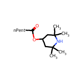 CCCCCC(=O)OC1CC(C)(C)NC(C)(C)C1